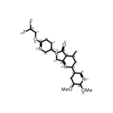 COC1CC(C2CC(C)C3C(=O)N(C4CCC(OCC(F)F)=NC4)CC3=N2)C=NC1OC